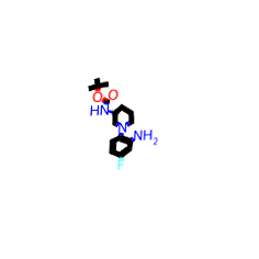 CC(C)(C)OC(=O)N[C@H]1CCCN(c2ccc(F)cc2N)C1